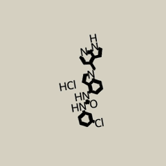 Cl.O=C(Nc1cccc(Cl)c1)Nc1cccc2c1ccn2Cc1ccnc2[nH]ccc12